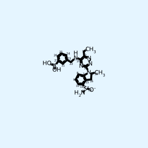 CCc1nnc(N2c3cccc([S+](N)[O-])c3CC2C)nc1NCc1cccc(B(O)O)c1